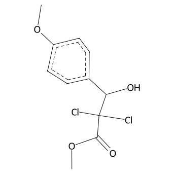 COC(=O)C(Cl)(Cl)C(O)c1ccc(OC)cc1